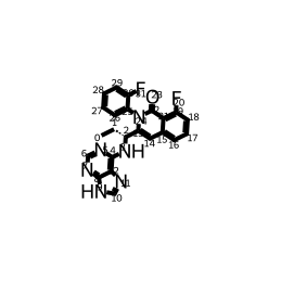 CC[C@@H](Nc1ncnc2[nH]cnc12)c1cc2cccc(F)c2c(=O)n1-c1ccccc1F